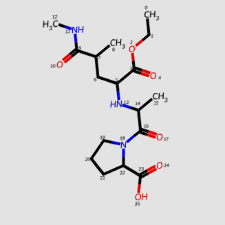 CCOC(=O)C(CC(C)C(=O)NC)NC(C)C(=O)N1CCCC1C(=O)O